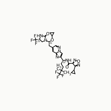 CC(C)(CC[C@H](NC(=O)c1nonc1C1CC1)c1cn2ncc(C[C@H](OC3CC3)N3C[C@@H](C(F)(F)F)NC3=O)cc2n1)C(F)(F)F